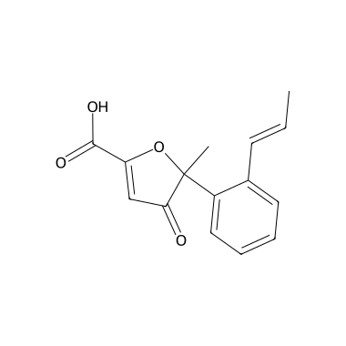 CC=Cc1ccccc1C1(C)OC(C(=O)O)=CC1=O